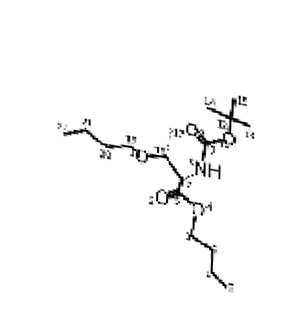 CCCCOC(=O)[C@@H](NC(=O)OC(C)(C)C)[C@@H](C)OCCCC